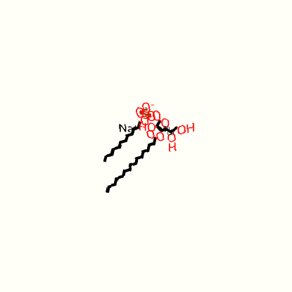 CCCCCCCCCCCCCCCC(=O)OC1=C(O)C(=O)O[C@@H]1[C@@H](O)CO.CCCCCCCCCCCCOS(=O)(=O)[O-].[Na+]